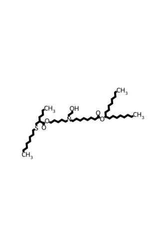 CCCCCCCCSCC(CCCC)C(=O)OCCCCCN(CCO)CCCCCCCC(=O)OC(CCCCCCCC)CCCCCCCC